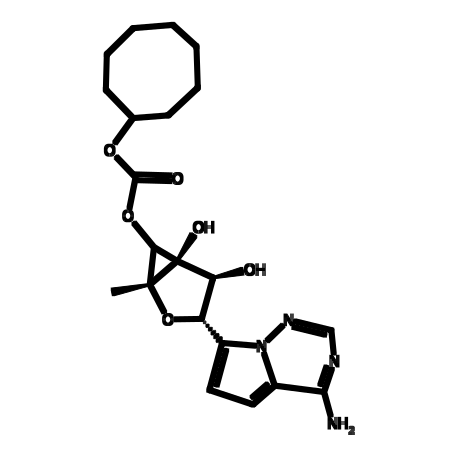 C[C@]12O[C@@H](c3ccc4c(N)ncnn34)[C@H](O)[C@@]1(O)C2OC(=O)OC1CCCCCCC1